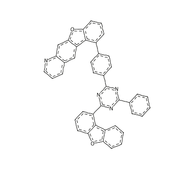 c1ccc(-c2nc(-c3ccc(-c4cccc5oc6cc7ncccc7cc6c45)cc3)nc(-c3cccc4oc5ccccc5c34)n2)cc1